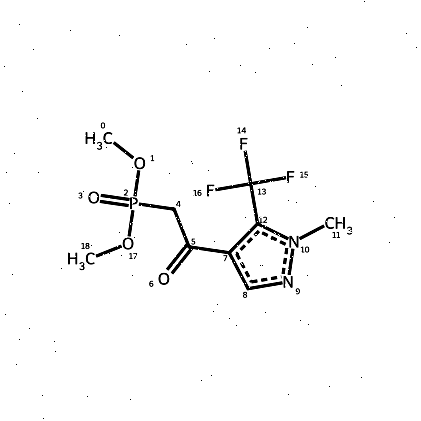 COP(=O)(CC(=O)c1cnn(C)c1C(F)(F)F)OC